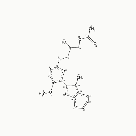 COc1ccc(OCC(O)COC(C)=O)cc1-c1cc2ccccc2n1C